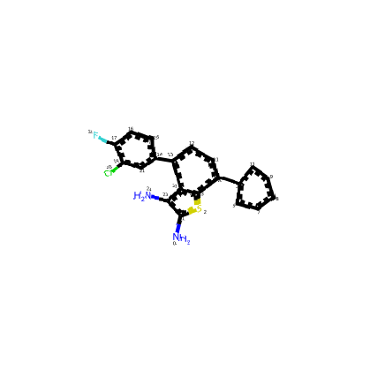 Nc1sc2c(-c3ccccc3)ccc(-c3ccc(F)c(Cl)c3)c2c1N